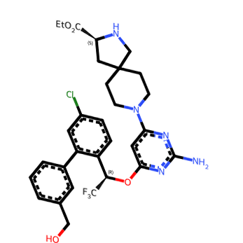 CCOC(=O)[C@@H]1CC2(CCN(c3cc(O[C@H](c4ccc(Cl)cc4-c4cccc(CO)c4)C(F)(F)F)nc(N)n3)CC2)CN1